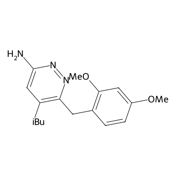 CCC(C)c1cc(N)nnc1Cc1ccc(OC)cc1OC